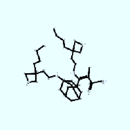 CCCCC1(CCOC(=C(C)C(=O)O)C23CC4CC(CC(OCCC5(CCCC)COC5)(C4)C2)C3)COC1